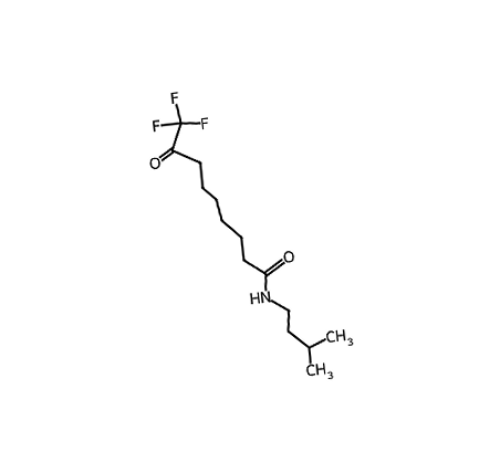 CC(C)CCNC(=O)CCCCCCC(=O)C(F)(F)F